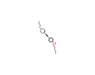 CCCCCOc1ccc(C#CC2=CCC(CCCC)CC2)cc1